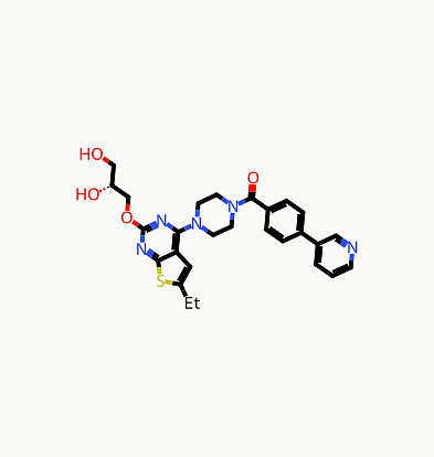 CCc1cc2c(N3CCN(C(=O)c4ccc(-c5cccnc5)cc4)CC3)nc(OC[C@H](O)CO)nc2s1